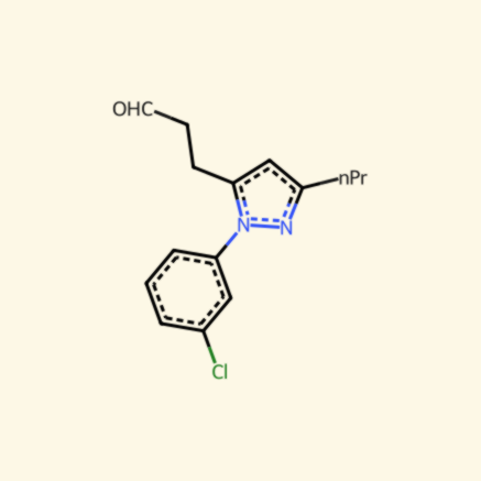 CCCc1cc(CCC=O)n(-c2cccc(Cl)c2)n1